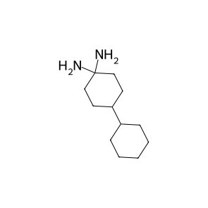 NC1(N)CCC(C2CCCCC2)CC1